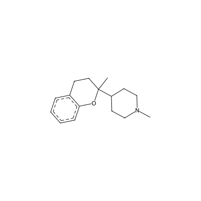 CN1CCC(C2(C)CCc3ccccc3O2)CC1